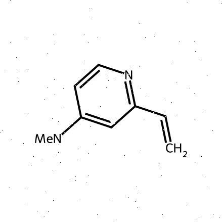 C=Cc1cc(NC)ccn1